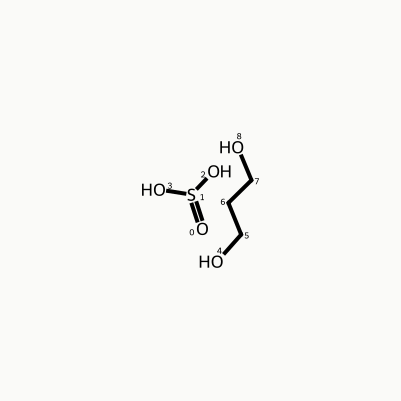 O=S(O)O.OCCCO